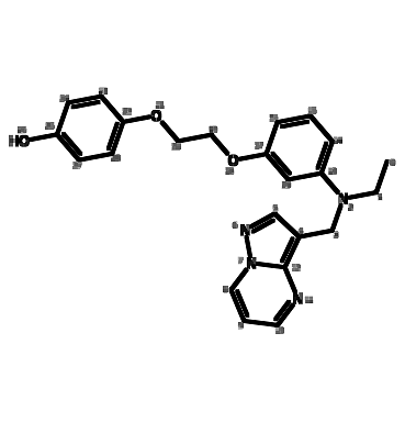 CCN(Cc1cnn2cccnc12)c1cccc(OCCOc2ccc(O)cc2)c1